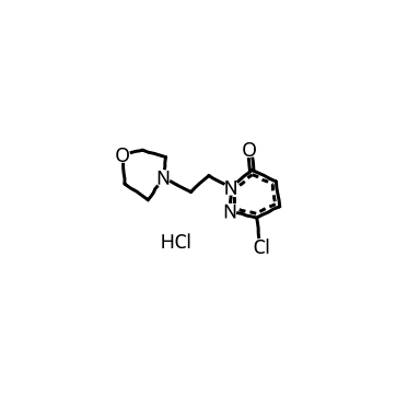 Cl.O=c1ccc(Cl)nn1CCN1CCOCC1